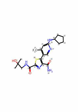 CC(C)(O)CNC(=O)c1nc(C(N)=O)c(-c2cnc(NC3CCCC3)cc2C(F)(F)F)s1